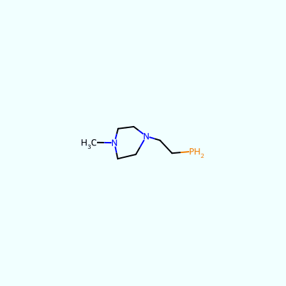 CN1CCN(CCP)CC1